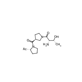 CC(=O)[C@H]1CCCN1C(=O)[C@H]1CCN(C(=O)[C@@H](N)[C@@H](C)O)C1